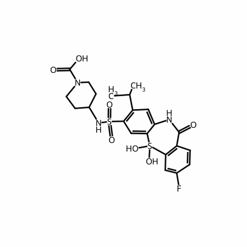 CC(C)c1cc2c(cc1S(=O)(=O)NC1CCN(C(=O)O)CC1)S(O)(O)c1cc(F)ccc1C(=O)N2